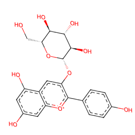 OC[C@H]1O[C@@H](Oc2cc3c(O)cc(O)cc3[o+]c2-c2ccc(O)cc2)[C@H](O)[C@@H](O)[C@@H]1O